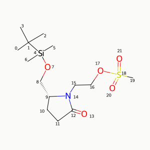 CC(C)(C)[Si](C)(C)OC[C@H]1CCC(=O)N1CCOS(C)(=O)=O